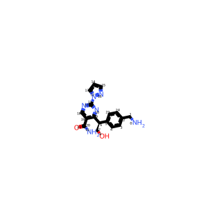 NCc1ccc([C@@H](CO)c2nc(-n3cccn3)ncc2C(N)=O)cc1